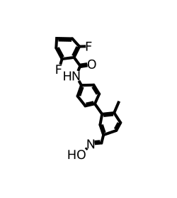 Cc1ccc(C=NO)cc1-c1ccc(NC(=O)c2c(F)cccc2F)cc1